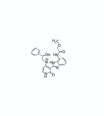 COCC(=O)Nc1cccc2nc(-c3c(NC[C@H](O)c4ccccc4)cc[nH]c3=O)[nH]c12